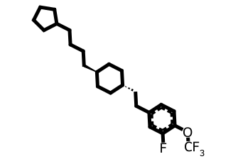 Fc1cc(CC[C@H]2CC[C@H](CCCCC3CCCC3)CC2)ccc1OC(F)(F)F